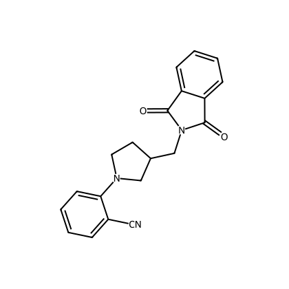 N#Cc1ccccc1N1CCC(CN2C(=O)c3ccccc3C2=O)C1